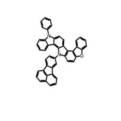 c1ccc(-n2c3ccccc3c3c2ccc2c4c5c(ccc4n(-c4ccc6c(c4)-c4cccc7cccc-6c47)c23)oc2ccccc25)cc1